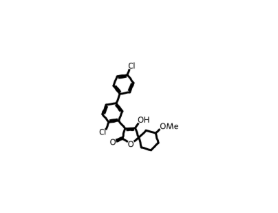 COC1CCCC2(C1)OC(=O)C(c1cc(-c3ccc(Cl)cc3)ccc1Cl)=C2O